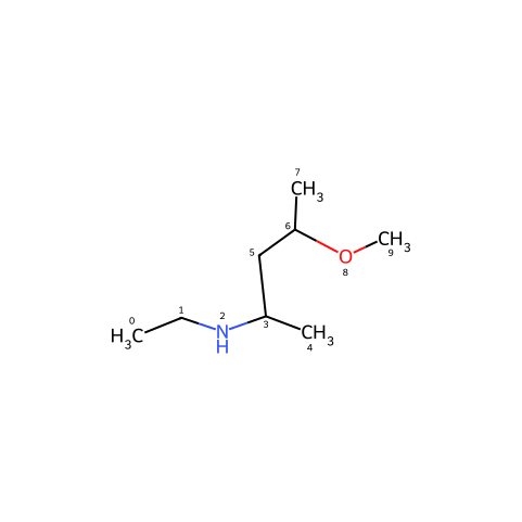 CCNC(C)CC(C)OC